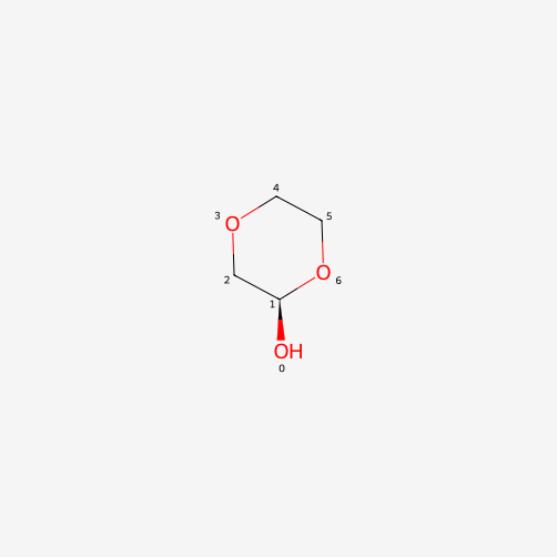 O[C@H]1COCCO1